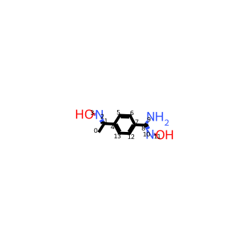 C/C(=N\O)c1ccc(/C(N)=N/O)cc1